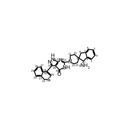 N[C@@H]1c2ccccc2CC12CCN(c1nc3[nH]nc(C4=CSCc5ccccc54)c3c(=O)[nH]1)CC2